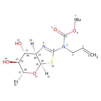 C=CCN(C(=O)OC(C)(C)C)C1=N[C@@H]2[C@@H](O)[C@H](O)[C@@H](CC)O[C@@H]2S1